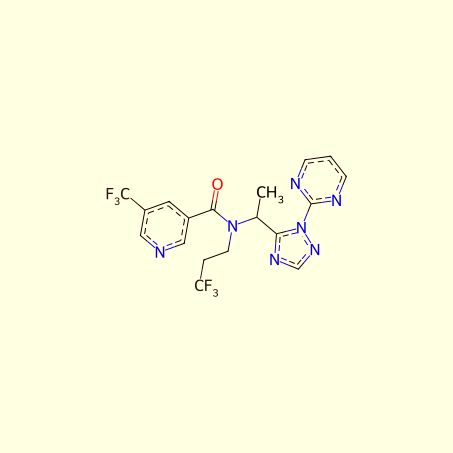 CC(c1ncnn1-c1ncccn1)N(CCC(F)(F)F)C(=O)c1cncc(C(F)(F)F)c1